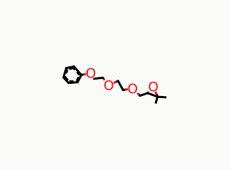 CC1(C)OC1COCCOCCOc1ccccc1